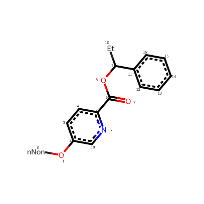 CCCCCCCCCOc1ccc(C(=O)OC(CC)c2ccccc2)nc1